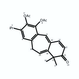 CC(=O)Oc1c(C(C)C)cc2c(c1OC(C)=O)C=C1C=CC(=O)C(C)(C)C1=CC2